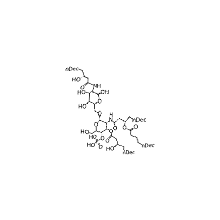 CCCCCCCCCCCCCC(=O)O[C@H](CCCCCCCCCCC)CC(=O)NC1C(OC(=O)C[C@H](O)CCCCCCCCCCC)[C@H](OP(=O)(O)O)C(CO)O[C@H]1OCC1O[C@H](O)C(NC(=O)C[C@H](O)CCCCCCCCCCC)C(O)[C@@H]1O